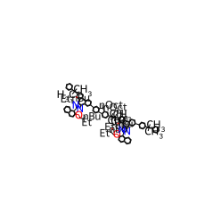 CCCCCCCCC1(CCCCCCCC)c2cc(-c3ccc4c5ccc(C(C)(C)c6ccccc6)cc5c5c(nc(-c6c(OCC(CC)CCCC)ccc7ccccc67)n5CC(CC)CCCC)c4c3)ccc2-c2ccc(C(C)(C)C(C)(C)c3ccc4c5ccc(-c6ccc(C(C)(C)c7ccccc7)cc6)cc5c5nc(-c6c(OCC(CC)CCCC)ccc7ccccc67)n(CC(CC)CCCC)c5c4c3)cc21